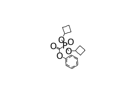 O=C(Oc1ccccc1)P(=O)(OC1CCC1)OC1CCC1